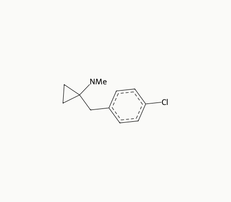 CNC1(Cc2ccc(Cl)cc2)CC1